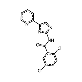 O=C(Nc1nc(-c2ccccn2)cs1)c1cc(Cl)ccc1Cl